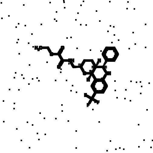 CCOC(=O)C(=O)NC[C@H]1CC[C@@H]2[C@H](O1)c1cc(C(F)(F)F)ccc1N[C@H]2c1ccccc1